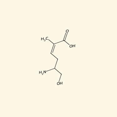 CC(=CCC(N)CO)C(=O)O